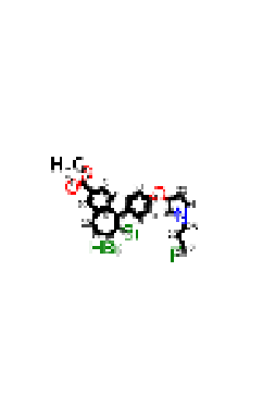 Br.COC(=O)c1ccc2c(c1)CCCC(Br)=C2c1ccc(O[C@H]2CCN(CCCF)C2)cc1